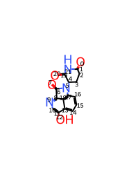 O=C1CCC(N2C(=O)c3ncc(O)c4cccc2c34)C(=O)N1